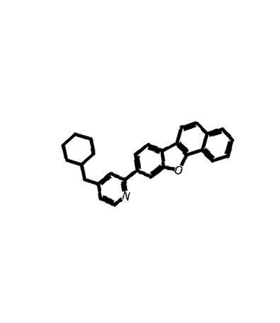 c1ccc2c(c1)ccc1c3ccc(-c4cc(CC5CCCCC5)ccn4)cc3oc21